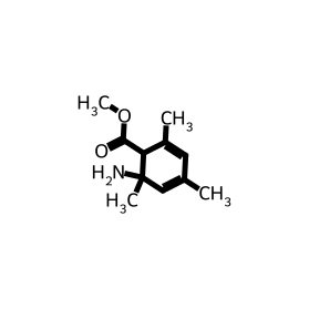 COC(=O)C1C(C)=CC(C)=CC1(C)N